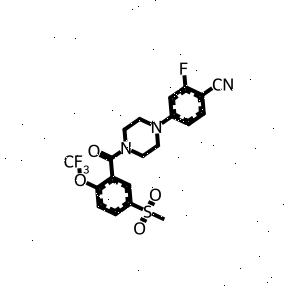 CS(=O)(=O)c1ccc(OC(F)(F)F)c(C(=O)N2CCN(c3ccc(C#N)c(F)c3)CC2)c1